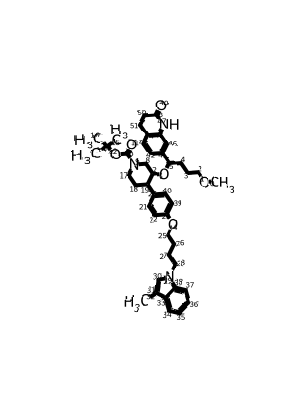 COCCCC(OC1CN(C(=O)OC(C)(C)C)CCC1c1ccc(OCCCCn2cc(C)c3ccccc32)cc1)c1ccc2c(c1)NC(=O)CC2